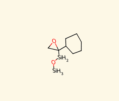 [SiH3]O[SiH2]C1(C2CCCCC2)CO1